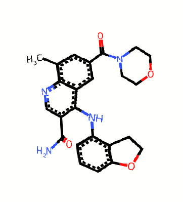 Cc1cc(C(=O)N2CCOCC2)cc2c(Nc3cccc4c3CCO4)c(C(N)=O)cnc12